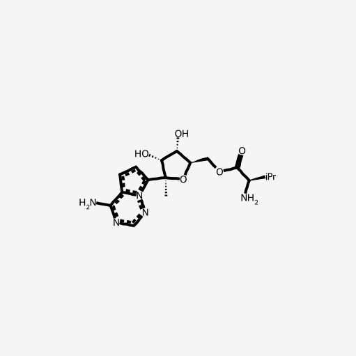 CC(C)[C@@H](N)C(=O)OC[C@H]1O[C@@](C)(c2ccc3c(N)ncnn23)[C@H](O)[C@@H]1O